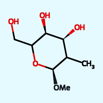 CO[C@H]1OC(CO)[C@@H](O)[C@H](O)C1C